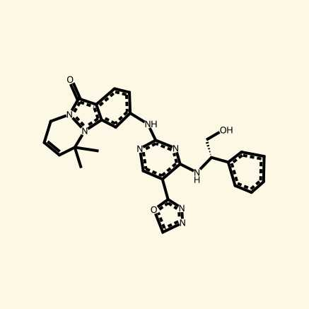 CC1(C)C=CCn2c(=O)c3ccc(Nc4ncc(-c5nnco5)c(N[C@H](CO)c5ccccc5)n4)cc3n21